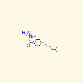 CC(C)CCCCC1CCN(C(=O)C(C)NN)CC1